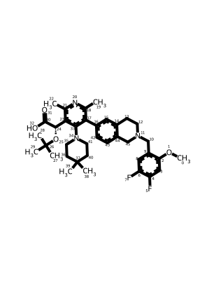 COc1cc(F)c(F)cc1CN1CCc2cc(-c3c(C)nc(C)c([C@H](OC(C)(C)C)C(=O)O)c3N3CCC(C)(C)CC3)ccc2C1